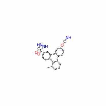 Cc1cccc2c3ccccc3c3ccccc3c12.N=C=O.N=C=O.N=C=O